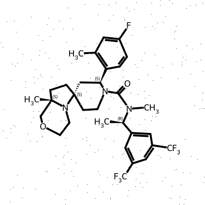 Cc1cc(F)ccc1[C@@H]1C[C@@]2(CCN1C(=O)N(C)[C@H](C)c1cc(C(F)(F)F)cc(C(F)(F)F)c1)CC[C@@]1(C)COCCN12